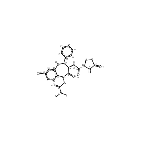 CN(C)C(=O)CN1C(=O)[C@H](NC(=O)[C@@H]2CCC(=O)N2)[C@H](c2ccccc2)Sc2cc(Cl)ccc21